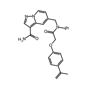 C=C(C)c1ccc(OCC(=O)N(Cc2ccn3ncc(C(N)=O)c3c2)C(C)C)cc1